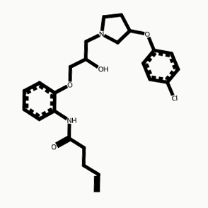 C=CCCC(=O)Nc1ccccc1OCC(O)CN1CCC(Oc2ccc(Cl)cc2)C1